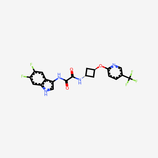 O=C(Nc1c[nH]c2cc(F)c(F)cc12)C(=O)N[C@H]1C[C@H](Oc2ccc(C(F)(F)F)cn2)C1